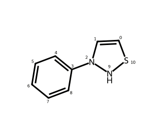 C1=CN(c2ccccc2)NS1